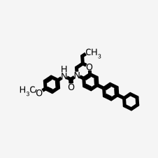 CCC1CN(C(=O)Nc2ccc(OC)cc2)c2ccc(-c3ccc(C4CCCCC4)cc3)cc2O1